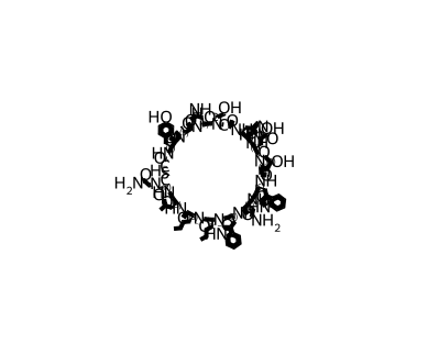 CCCC[C@H]1C(=O)N(C)[C@@H](CCCC)C(=O)N[C@@H](CC(C)C)C(=O)N[C@H](C(=O)NCC(N)=O)CSCC(=O)N[C@@H](Cc2ccc(O)cc2)C(=O)N(C)[C@@H](C)C(=O)N[C@@H](CC(N)=O)C(=O)N(CCO)CC(=O)N[C@@H](Cc2cnc[nH]2)C(=O)N[C@@H](CCC(=O)O)C(=O)N2C[C@H](O)C[C@H]2C(=O)N[C@@H](Cc2c[nH]c3ccccc23)C(=O)N[C@@H](CCN)C(=O)N[C@@H](Cc2c[nH]c3ccccc23)C(=O)N1C